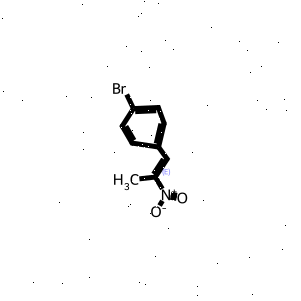 C/C(=C\c1ccc(Br)cc1)[N+](=O)[O-]